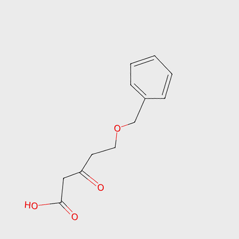 O=C(O)CC(=O)CCOCc1ccccc1